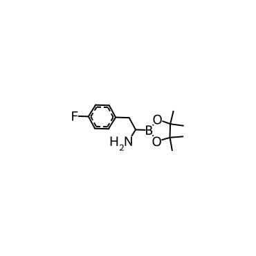 CC1(C)OB(C(N)Cc2ccc(F)cc2)OC1(C)C